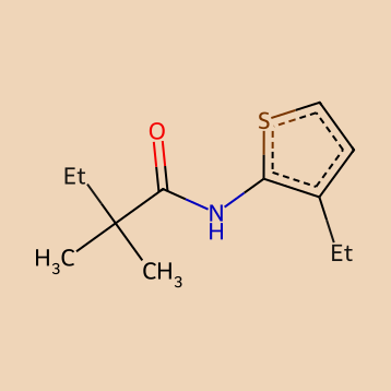 CCc1ccsc1NC(=O)C(C)(C)CC